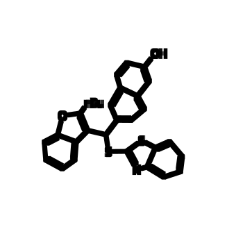 CCCCc1oc2ccccc2c1C(Sc1nc2ccccc2s1)c1ccc2cc(O)ccc2c1